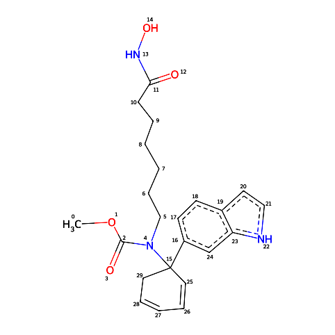 COC(=O)N(CCCCCCC(=O)NO)C1(c2ccc3cc[nH]c3c2)C=CC=CC1